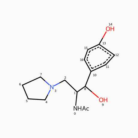 CC(=O)NC(CN1CCCC1)C(O)c1ccc(O)cc1